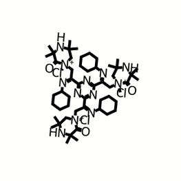 CC1(C)C[N+](Cl)(CC(=NC2CCCCC2)c2nc(C(C[N+]3(Cl)CC(C)(C)NC(C)(C)C3=O)=NC3CCCCC3)nc(C(C[N+]3(Cl)CC(C)(C)NC(C)(C)C3=O)=NC3CCCCC3)n2)C(=O)C(C)(C)N1